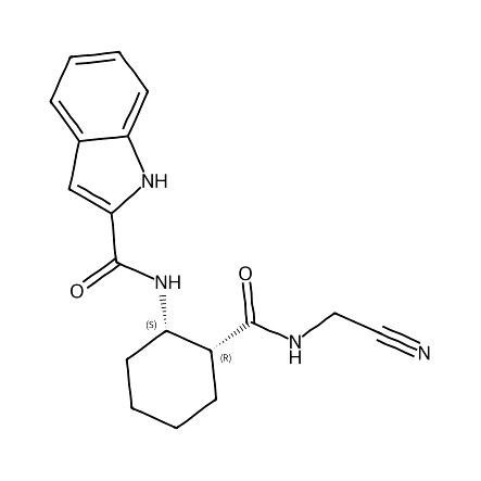 N#CCNC(=O)[C@@H]1CCCC[C@@H]1NC(=O)c1cc2ccccc2[nH]1